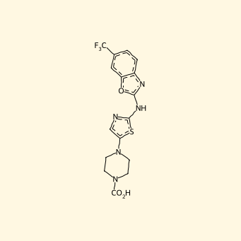 O=C(O)N1CCN(c2cnc(Nc3nc4ccc(C(F)(F)F)cc4o3)s2)CC1